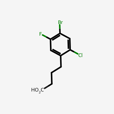 O=C(O)CCCc1cc(F)c(Br)cc1Cl